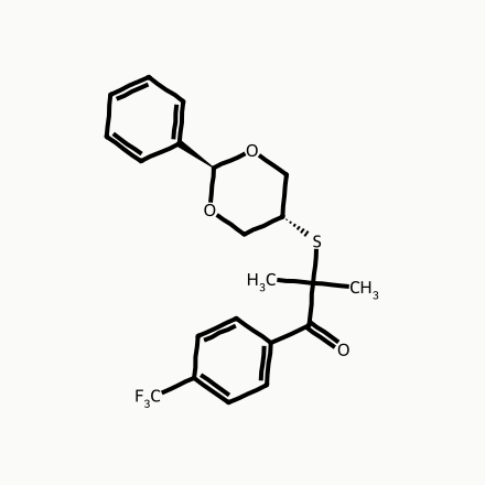 CC(C)(S[C@H]1CO[C@H](c2ccccc2)OC1)C(=O)c1ccc(C(F)(F)F)cc1